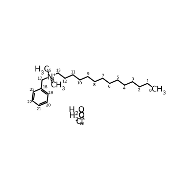 CCCCCCCCCCCCCC[N+](C)(C)Cc1ccccc1.O.O.[Cl-]